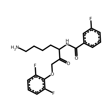 NCCCCC(NC(=O)c1cccc(F)c1)C(=O)COc1c(F)cccc1F